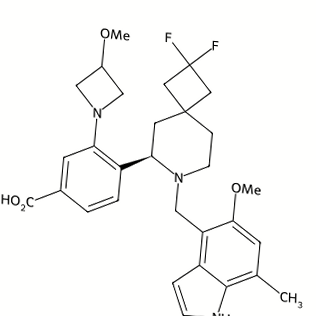 COc1cc(C)c2[nH]ccc2c1CN1CCC2(C[C@@H]1c1ccc(C(=O)O)cc1N1CC(OC)C1)CC(F)(F)C2